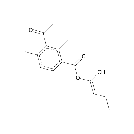 CCC=C(O)OC(=O)c1ccc(C)c(C(C)=O)c1C